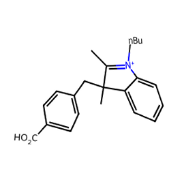 CCCC[N+]1=C(C)C(C)(Cc2ccc(C(=O)O)cc2)c2ccccc21